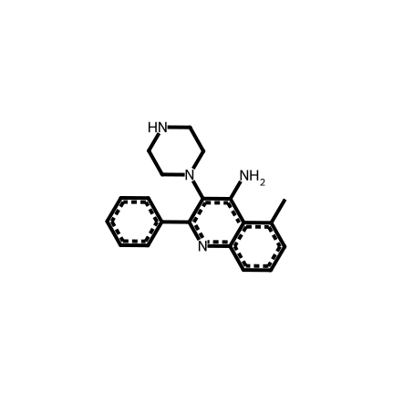 Cc1cccc2nc(-c3ccccc3)c(N3CCNCC3)c(N)c12